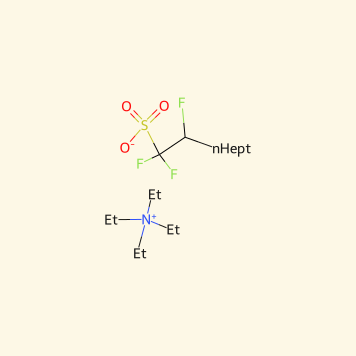 CCCCCCCC(F)C(F)(F)S(=O)(=O)[O-].CC[N+](CC)(CC)CC